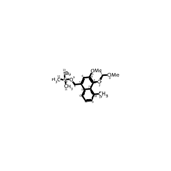 COCOc1c(OC)cc(CO[Si](C)(C)C(C)(C)C)c2cccc(C)c12